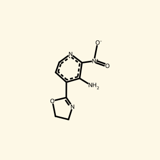 Nc1c(C2=NCCO2)ccnc1[N+](=O)[O-]